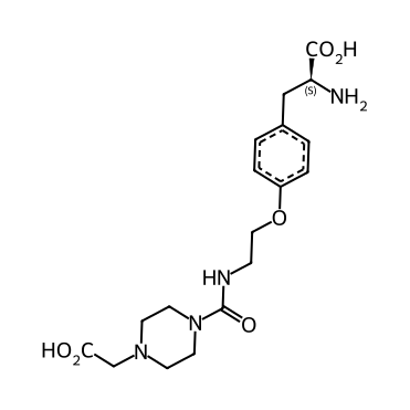 N[C@@H](Cc1ccc(OCCNC(=O)N2CCN(CC(=O)O)CC2)cc1)C(=O)O